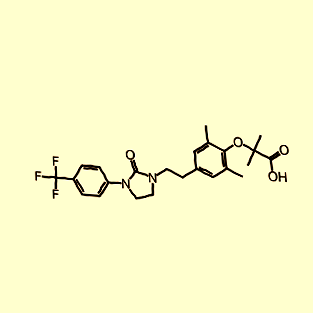 Cc1cc(CCN2CCN(c3ccc(C(F)(F)F)cc3)C2=O)cc(C)c1OC(C)(C)C(=O)O